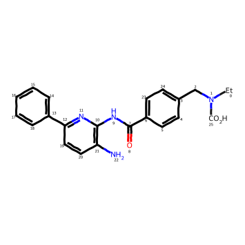 CCN(Cc1ccc(C(=O)Nc2nc(-c3ccccc3)ccc2N)cc1)C(=O)O